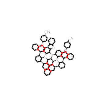 N#Cc1ccc(N(c2ccccc2)c2ccc3c(c2)N(c2c(-c4ccccc4)cccc2-c2ccccc2)c2cc(-c4ccccc4)cc4c2B3c2c(cc(N(c3ccccc3)c3ccc(C#N)cc3)c3c2oc2ccccc23)N4c2c(-c3ccccc3)cccc2-c2ccccc2)cc1